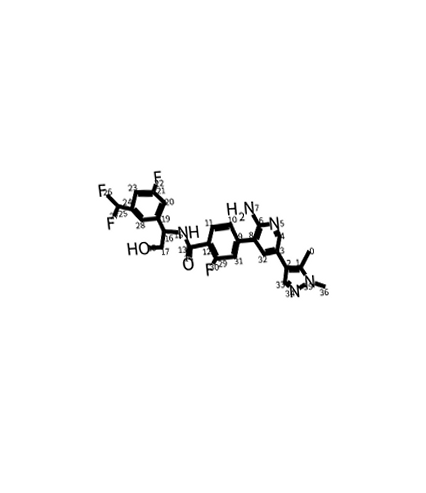 Cc1c(-c2cnc(N)c(-c3ccc(C(=O)NC(CO)c4cc(F)cc(C(F)F)c4)c(F)c3)c2)cnn1C